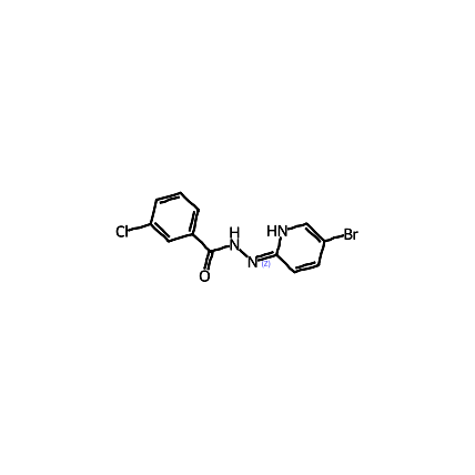 O=C(N/N=c1/ccc(Br)c[nH]1)c1cccc(Cl)c1